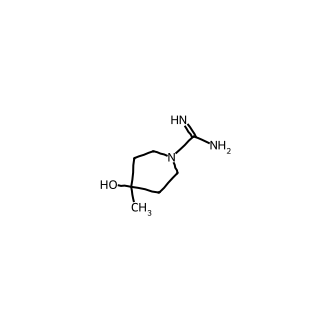 CC1(O)CCN(C(=N)N)CC1